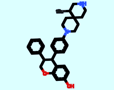 CC(C)(C)C1CNCCC12CCN(c1ccc(C3c4ccc(O)cc4OCC3c3ccccc3)cc1)CC2